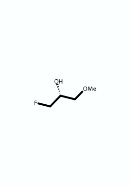 COC[C@@H](O)CF